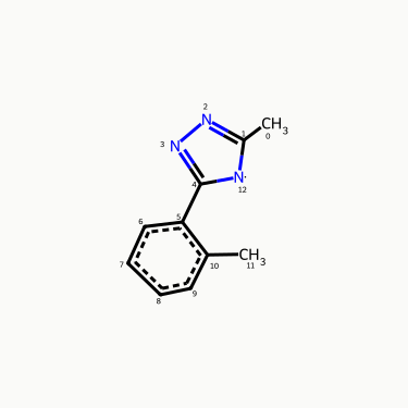 CC1=NN=C(c2ccccc2C)[N]1